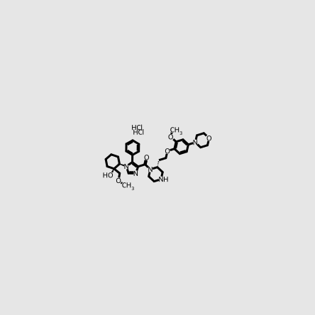 COC[C@]1(O)CCCC[C@H]1n1cnc(C(=O)N2CCNC[C@H]2CCOc2ccc(N3CCOCC3)cc2OC)c1-c1ccccc1.Cl.Cl